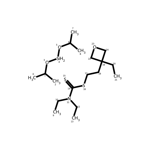 CC(C)O[SiH2]OC(C)C.CCN(CC)C(=S)SCCC1(CC)COC1